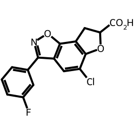 O=C(O)C1Cc2c(c(Cl)cc3c(-c4cccc(F)c4)noc23)O1